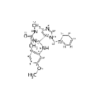 COc1ccc(C)c(Nc2nc(=O)n(C)c3ncn(Cc4ccccc4)c23)c1